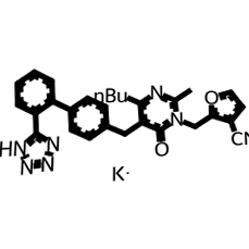 CCCCc1nc(C)n(Cc2occc2C#N)c(=O)c1Cc1ccc(-c2ccccc2-c2nnn[nH]2)cc1.[K]